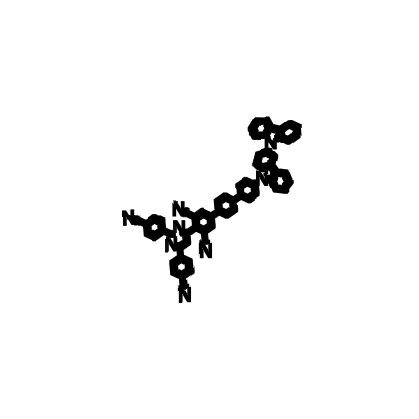 N#Cc1ccc(-c2cc(-c3c(C#N)cc(-c4ccc(-c5ccc(-n6c7ccccc7c7cc(-n8c9ccccc9c9ccccc98)ccc76)cc5)cc4)cc3C#N)nc(-c3ccc(C#N)cc3)n2)cc1